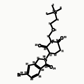 C[Si](C)(C)CCOCN1C(=O)CCC(N2Cc3cc(Br)ccc3C2=O)C1=O